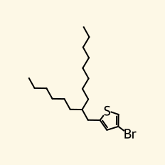 CCCCCCCCC(CCCCCC)Cc1cc(Br)cs1